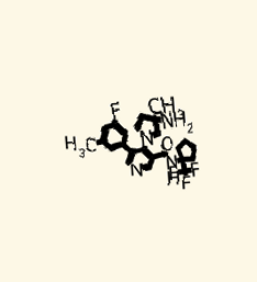 Cc1cc(F)cc(-c2cncc(C(=O)NC3(C(F)(F)F)CCCC3)c2N2CC[C@](C)(N)C2)c1